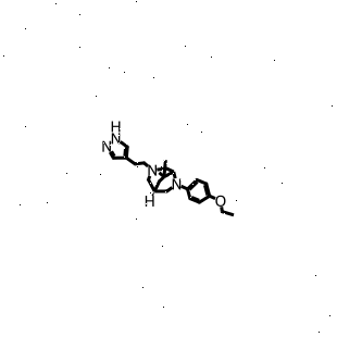 CCOc1ccc(N2C[C@H]3CN(CCc4cn[nH]c4)CC2C(C)(C)C3)cc1